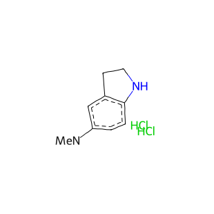 CNc1ccc2c(c1)CCN2.Cl.Cl